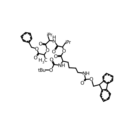 CC(OC(=O)C(NC(=O)C(OC(=O)C(CCCCNC(=O)OCC1c2ccccc2-c2ccccc21)NC(=O)OC(C)(C)C)C(C)C)C(C)C)C(=O)OCc1ccccc1